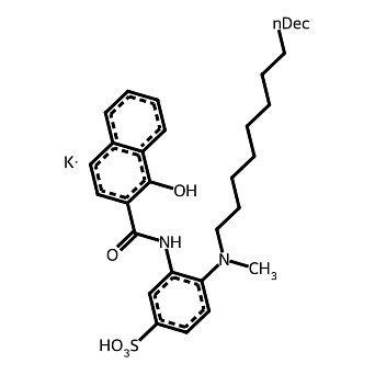 CCCCCCCCCCCCCCCCCCN(C)c1ccc(S(=O)(=O)O)cc1NC(=O)c1ccc2ccccc2c1O.[K]